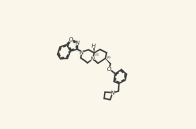 c1cc(CN2CCC2)cc(OC[C@@H]2CC[C@H]3CN(c4noc5ccccc45)CCN3C2)c1